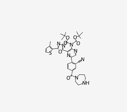 Cc1ccsc1-c1nnc(-c2nc(-c3ccc(C(=O)N4CCCNCC4)cc3C#N)cnc2N(C(=O)OC(C)(C)C)C(=O)OC(C)(C)C)o1